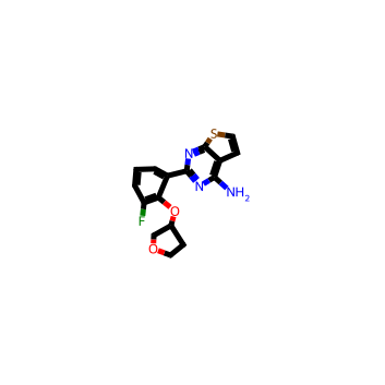 Nc1nc(-c2cccc(F)c2OC2CCOC2)nc2sccc12